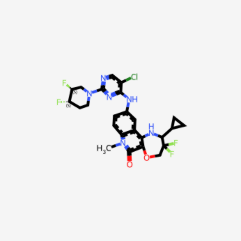 Cn1c(=O)c2c(c3cc(Nc4nc(N5CC[C@H](F)[C@@H](F)C5)ncc4Cl)ccc31)NC(C1CC1)C(F)(F)CO2